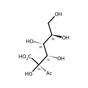 CC(=O)[C@](O)(C(=O)O)[C@@H](O)[C@H](O)[C@H](O)CO